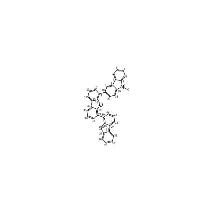 Cn1c2ccccc2c2cc(-c3cccc4c3oc3c(-c5cccc6c5sc5ccccc56)cccc34)ccc21